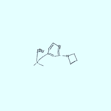 CC(C)(C)C(C)(C)c1ccnc(N2CCC2)c1